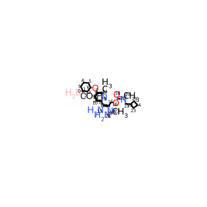 BC1(C(=O)O)CCCC(Oc2ccc(/C(N)=C(\COC(=O)N(C)CC3CCC3)N(C)N)nc2C)C1